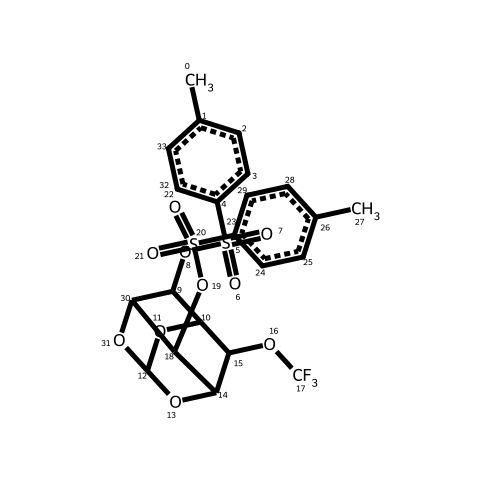 Cc1ccc(S(=O)(=O)OC2C3OC4OC(C3OC(F)(F)F)C(OS(=O)(=O)c3ccc(C)cc3)C2O4)cc1